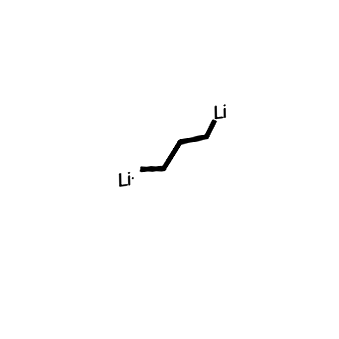 [Li].[Li][CH2]CCC